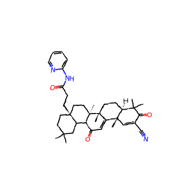 CC1(C)CC[C@]2(CCC(=O)Nc3ccccn3)CC[C@]3(C)C(C(=O)C=C4[C@@]5(C)C=C(C#N)C(=O)C(C)(C)[C@@H]5CC[C@]43C)C2C1